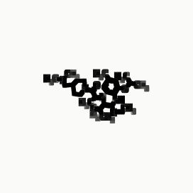 C=C(C)C(/N=C(\C)C(=O)N1CCC(CN(C)C)CC1)=C(\N=C/C)Nc1ccc(C)cc1OC(C)C